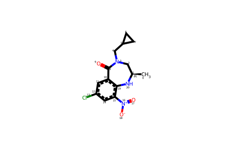 C[C@@H]1CN(CC2CC2)C(=O)c2cc(Cl)cc([N+](=O)[O-])c2N1